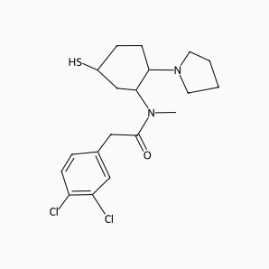 CN(C(=O)Cc1ccc(Cl)c(Cl)c1)C1CC(S)CCC1N1CCCC1